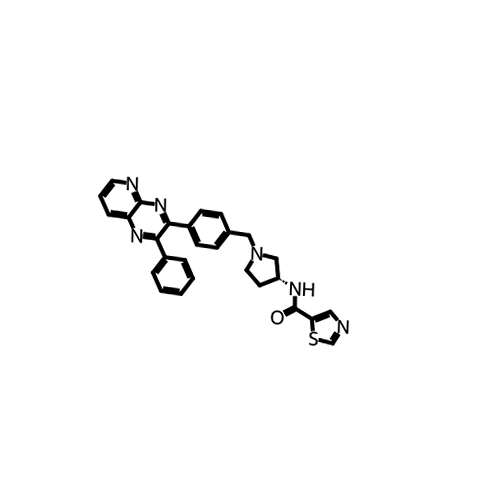 O=C(N[C@@H]1CCN(Cc2ccc(-c3nc4ncccc4nc3-c3ccccc3)cc2)C1)c1cncs1